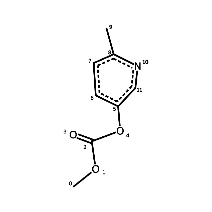 COC(=O)Oc1ccc(C)nc1